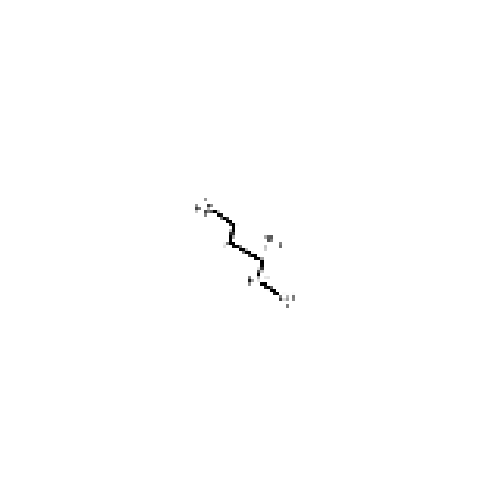 CCCCPO.N